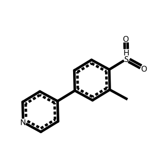 Cc1cc(-c2ccncc2)ccc1[SH](=O)=O